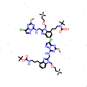 CSc1nc(NCc2nc3c(CCCNC(=O)OC(C)(C)C)cccc3n2COCC[Si](C)(C)C)n2ncc(Br)c2n1.CSc1nc(NCc2nc3cccc(CCCN(C(=O)O)C(C)(C)C)c3n2COCC[Si](C)(C)C)n2ncc(Br)c2n1